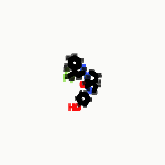 O=C1N([C@H]2CC[C@H](O)CC2)CC[C@@]12CCCN(c1cc(C(F)(F)F)c3ccccc3n1)C2